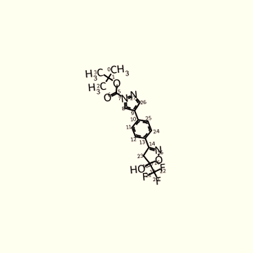 CC(C)(C)OC(=O)n1cc(-c2ccc(C3=NOC(O)(C(F)(F)F)C3)cc2)cn1